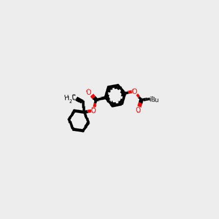 C=CC1(OC(=O)c2ccc(OC(=O)C(C)CC)cc2)CCCCC1